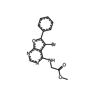 COC(=O)CNc1ncnc2oc(-c3ccccc3)c(Br)c12